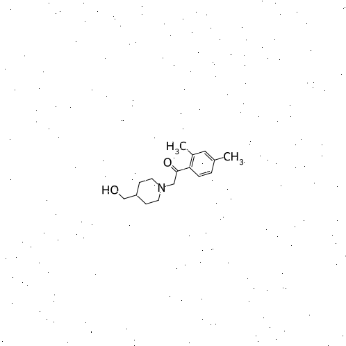 Cc1ccc(C(=O)CN2CCC(CO)CC2)c(C)c1